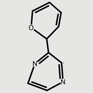 [c]1nccnc1C1C=CC=CO1